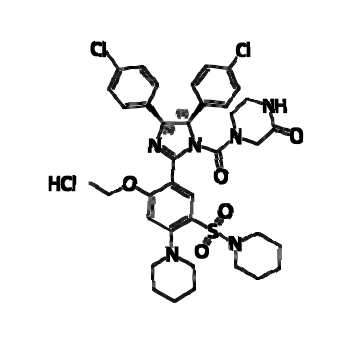 CCOc1cc(N2CCCCC2)c(S(=O)(=O)N2CCCCC2)cc1C1=N[C@@H](c2ccc(Cl)cc2)[C@@H](c2ccc(Cl)cc2)N1C(=O)N1CCNC(=O)C1.Cl